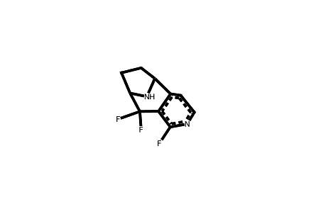 Fc1nccc2c1C(F)(F)C1CCC2N1